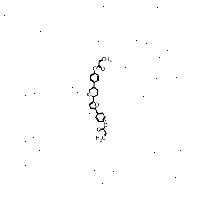 C=CC(=O)Oc1ccc(-c2ccc(C3CCC(c4ccc(OC(=O)C=C)cc4)CO3)o2)cc1